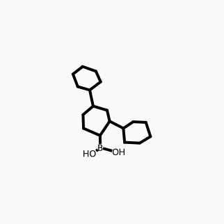 OB(O)C1CCC(C2CCCCC2)CC1C1CCCCC1